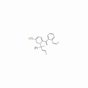 C=C(C1=CC=C(S)CC1C(C)(C=CC)C(C)C)c1ccccc1/C=C\C